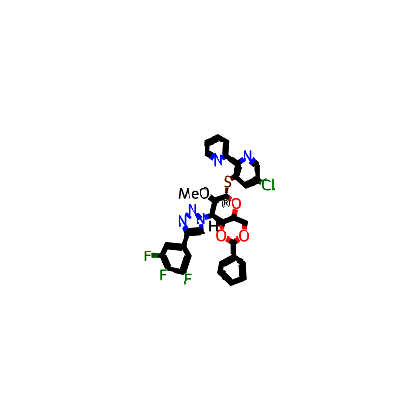 COC1C(n2cc(-c3cc(F)c(F)c(F)c3)nn2)[C@H]2OC(c3ccccc3)OCC2O[C@@H]1Sc1cc(Cl)cnc1-c1ccccn1